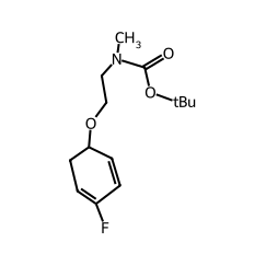 CN(CCOC1C=CC(F)=CC1)C(=O)OC(C)(C)C